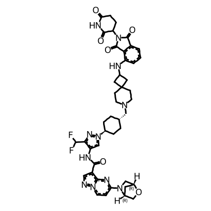 O=C1CCC(N2C(=O)c3cccc(NC4CC5(CCN(C[C@H]6CC[C@H](n7cc(NC(=O)c8cnn9ccc(N%10C[C@H]%11C[C@@H]%10CO%11)nc89)c(C(F)F)n7)CC6)CC5)C4)c3C2=O)C(=O)N1